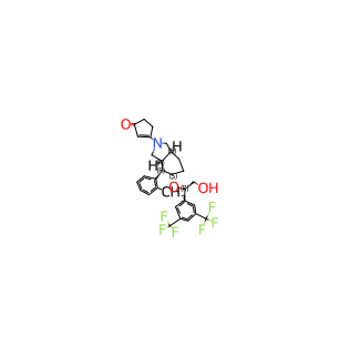 Cc1ccccc1[C@H]1[C@@H]2CN(C3=CC(=O)CC3)C[C@H]2CC[C@@H]1O[C@@H](CO)c1cc(C(F)(F)F)cc(C(F)(F)F)c1